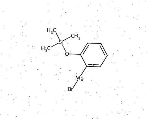 C[Si](C)(C)Oc1cccc[c]1[Mg][Br]